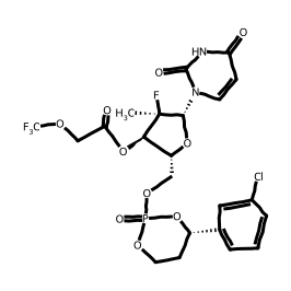 C[C@@]1(F)[C@H](OC(=O)COC(F)(F)F)[C@@H](COP2(=O)OCC[C@@H](c3cccc(Cl)c3)O2)O[C@H]1n1ccc(=O)[nH]c1=O